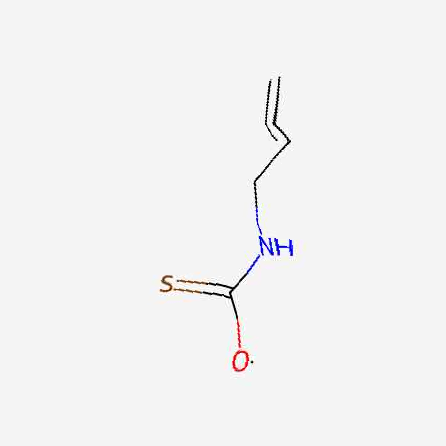 C=CCNC([O])=S